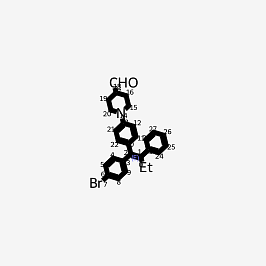 CC/C(=C(\c1ccc(Br)cc1)c1ccc(N2CCC(C=O)CC2)cc1)c1ccccc1